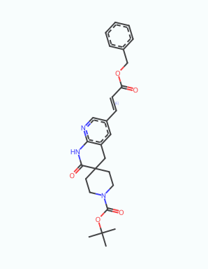 CC(C)(C)OC(=O)N1CCC2(CC1)Cc1cc(/C=C/C(=O)OCc3ccccc3)cnc1NC2=O